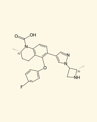 C[C@@H]1NCC1n1cc(-c2ccc3c(c2Oc2ccc(F)cc2)CC[C@H](C)N3C(=O)O)cn1